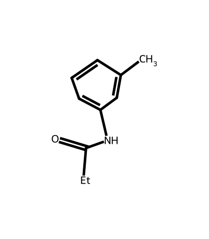 [CH2]CC(=O)Nc1cccc(C)c1